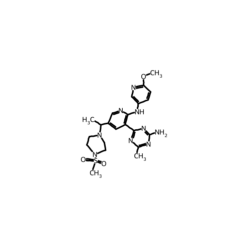 COc1ccc(Nc2ncc(C(C)N3CCN(S(C)(=O)=O)CC3)cc2-c2nc(C)nc(N)n2)cn1